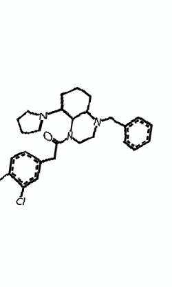 O=C(Cc1ccc(Cl)c(Cl)c1)N1CCN(Cc2ccccc2)C2CCCC(N3CCCC3)C21